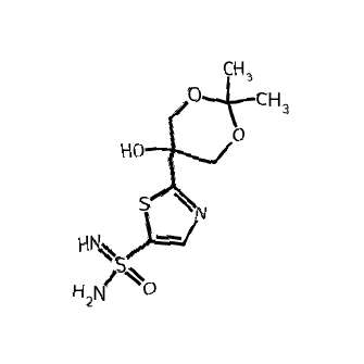 CC1(C)OCC(O)(c2ncc(S(=N)(N)=O)s2)CO1